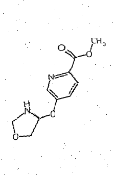 COC(=O)c1ccc(OC2COCN2)cn1